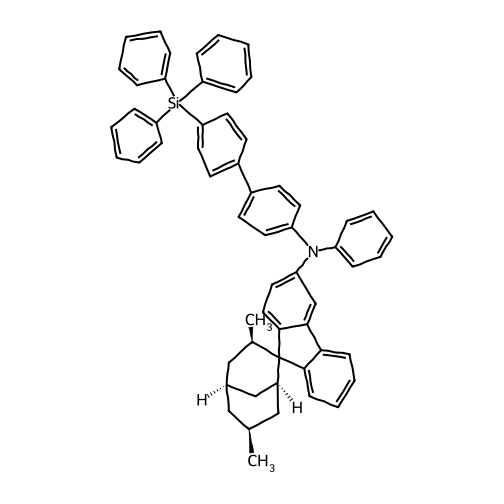 C[C@H]1C[C@@H]2C[C@H](C1)C1(c3ccccc3-c3cc(N(c4ccccc4)c4ccc(-c5ccc([Si](c6ccccc6)(c6ccccc6)c6ccccc6)cc5)cc4)ccc31)[C@H](C)C2